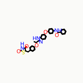 CC(Oc1ccc(CC2SC(=O)NC2=O)cc1)c1nc2ccc(Oc3ccc(NC(=O)c4ccccc4)cc3)cc2[nH]1